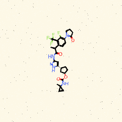 CC(C(=O)Nc1cc([C@@H]2CC[C@@H](OC(=O)NC3(C)CC3)C2)[nH]n1)c1ccc(N2CCCC2=O)c(F)c1C(F)(F)F